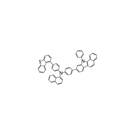 c1ccc(-n2c3cc(-c4ccc(N(c5ccc(-c6cccc7sc8ccccc8c67)cc5)c5cccc6ccccc56)cc4)ccc3c3ccc4ccccc4c32)cc1